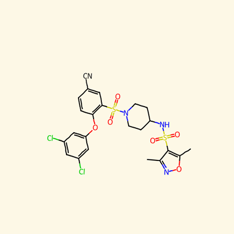 Cc1noc(C)c1S(=O)(=O)NC1CCN(S(=O)(=O)c2cc(C#N)ccc2Oc2cc(Cl)cc(Cl)c2)CC1